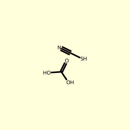 N#CS.O=C(O)O